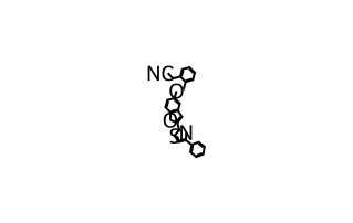 N#CCc1ccccc1COc1ccc2oc(-c3nc(-c4ccccc4)cs3)cc2c1